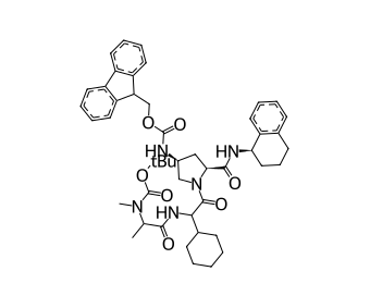 CC(C(=O)NC(C(=O)N1C[C@@H](NC(=O)OCC2c3ccccc3-c3ccccc32)C[C@H]1C(=O)N[C@@H]1CCCc2ccccc21)C1CCCCC1)N(C)C(=O)OC(C)(C)C